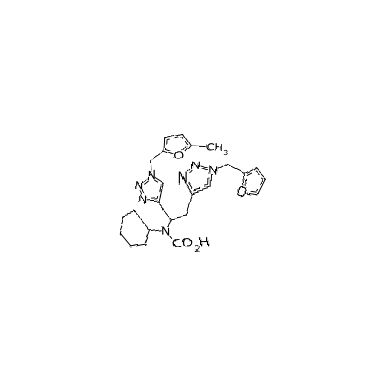 Cc1ccc(Cn2cc(C(Cc3cn(Cc4ccco4)nn3)N(C(=O)O)C3CCCCC3)nn2)o1